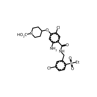 CCS(=O)(=O)c1ccc(Cl)cc1CNC(=O)c1cc(Cl)c(OC2CCN(C(=O)O)CC2)cc1N